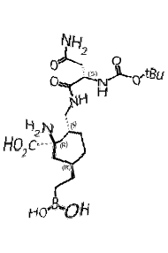 CC(C)(C)OC(=O)N[C@@H](CC(N)=O)C(=O)NC[C@@H]1CC[C@@H](CCB(O)O)C[C@]1(N)C(=O)O